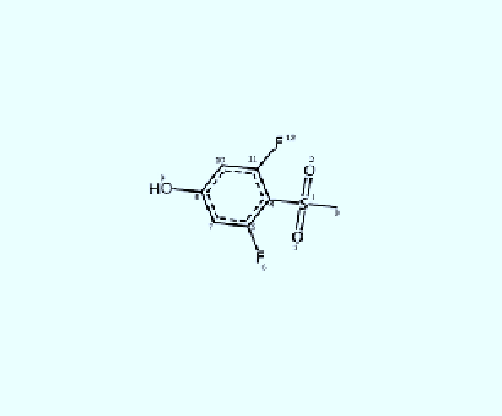 CS(=O)(=O)c1c(F)cc(O)cc1F